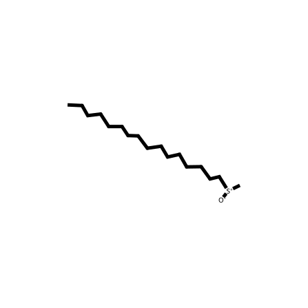 CCCCCCCCCCCCCCCC[S+](C)[O-]